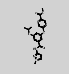 COC(=O)c1cnc(Oc2cc(OC(C)C)cc(C(=O)Nc3ccn(C)n3)c2)cn1